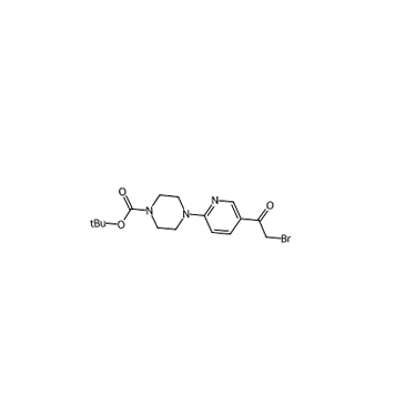 CC(C)(C)OC(=O)N1CCN(c2ccc(C(=O)CBr)cn2)CC1